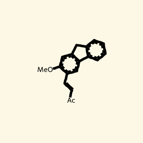 COc1cc2c(cc1C=CC(C)=O)-c1ccccc1C2